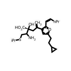 C=C(C[C@](O)(C(=O)O)C(N)CSC(C)C)c1cc(CCC2CC2)oc1/C=C\CCC